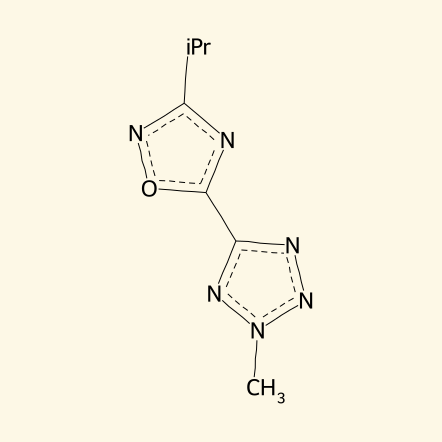 CC(C)c1noc(-c2nnn(C)n2)n1